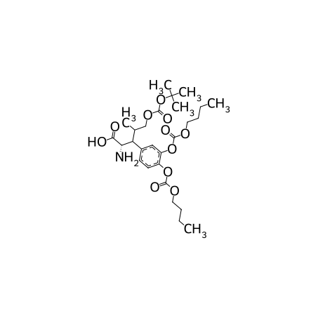 CCCCOC(=O)Oc1ccc(C(C(C)COC(=O)OC(C)(C)C)[C@H](N)C(=O)O)cc1OC(=O)OCCCC